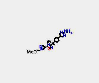 COCCn1cc(-c2nc([C@@](C)(c3ccc(-c4cnc(N)nc4)cc3)C(C)C)no2)cn1